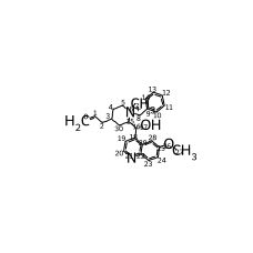 C=CCC1CC[N+](C)(Cc2ccccc2)C([C@H](O)c2ccnc3ccc(OC)cc23)C1